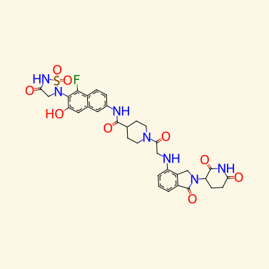 O=C1CCC(N2Cc3c(NCC(=O)N4CCC(C(=O)Nc5ccc6c(F)c(N7CC(=O)NS7(=O)=O)c(O)cc6c5)CC4)cccc3C2=O)C(=O)N1